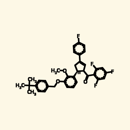 COc1c(OCc2ccc(C(C)(C)C)cc2)cccc1[C@H]1CC(c2ccc(F)cc2)=CC1C(=O)c1c(F)cc(F)cc1F